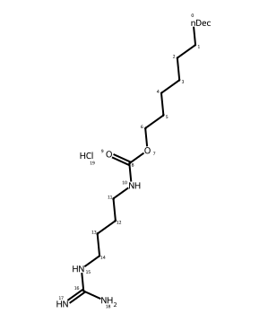 CCCCCCCCCCCCCCCCOC(=O)NCCCCNC(=N)N.Cl